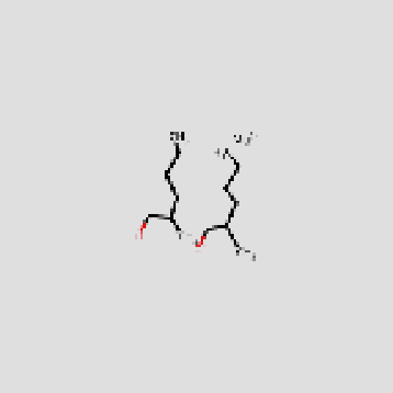 CCCCC(C)C[O-].CCCCC(C)C[O-].[Mg+2]